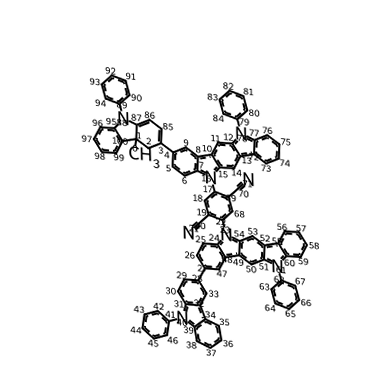 CC12CC(c3ccc4c(c3)c3cc5c(cc3n4-c3cc(C#N)c(-n4c6ccc(-c7ccc8c(c7)c7ccccc7n8-c7ccccc7)cc6c6cc7c(cc64)c4ccccc4n7-c4ccccc4)cc3C#N)c3ccccc3n5-c3ccccc3)=CC=C1N(c1ccccc1)c1ccccc12